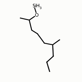 CCCC(C)CCCC(C)O[SiH3]